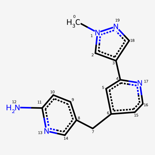 Cn1cc(-c2cc(Cc3ccc(N)nc3)ccn2)cn1